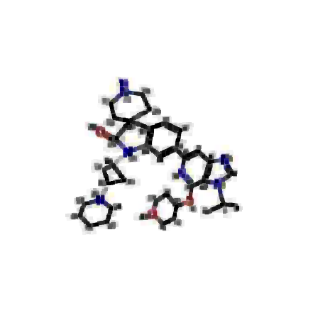 CC(C)n1cnc2cc(-c3ccc4c(c3)N([C@H]3C[C@@H](N5CCCCC5)C3)C(=O)C43CCNCC3)nc(OC3CCOCC3)c21